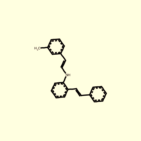 Cc1cccc(C=CNc2ccccc2C=Cc2ccccc2)c1